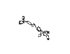 CN=Nc1c(O)c(C(=O)Nc2ccc(CCc3ccc(-c4ccc(N(c5ccccc5)c5ccccc5)cc4)cc3)cc2)cc2ccccc12